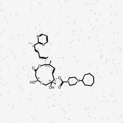 C/C(=C\C=C\[C@H](C)c1ncccn1)[C@H]1OC(=O)C[C@H](O)CC[C@@](C)(O)[C@@H](OC(=O)N2CCN(C3CCCCCC3)CC2)/C=C/[C@@H]1C